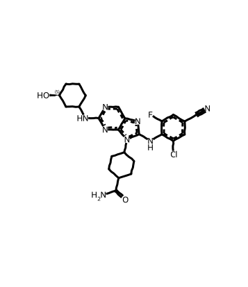 N#Cc1cc(F)c(Nc2nc3cnc(NC4CCC[C@H](O)C4)nc3n2C2CCC(C(N)=O)CC2)c(Cl)c1